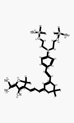 CC1(C)CC(=CC=CC2=C(C#N)C(=C(C#N)C#N)OC2(C)C)C=C(/C=C/c2ccc(N(CCO[Si](C)(C)C(C)(C)C)CCO[Si](C)(C)C(C)(C)C)cc2)C1